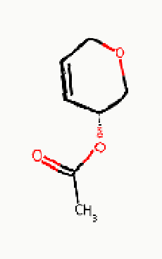 CC(=O)O[C@@H]1C=CCOC1